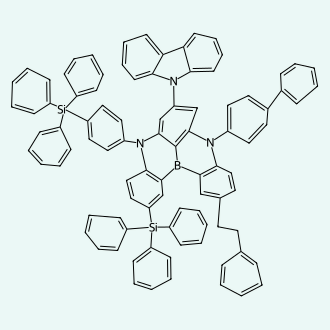 c1ccc(CCc2ccc3c(c2)B2c4cc([Si](c5ccccc5)(c5ccccc5)c5ccccc5)ccc4N(c4ccc([Si](c5ccccc5)(c5ccccc5)c5ccccc5)cc4)c4cc(-n5c6ccccc6c6ccccc65)cc(c42)N3c2ccc(-c3ccccc3)cc2)cc1